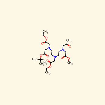 CCOC(=O)CN(CCN(CC(C)=O)CC(=O)OC)CCN(CC(=O)OCC)CC(=O)OC(C)(C)C